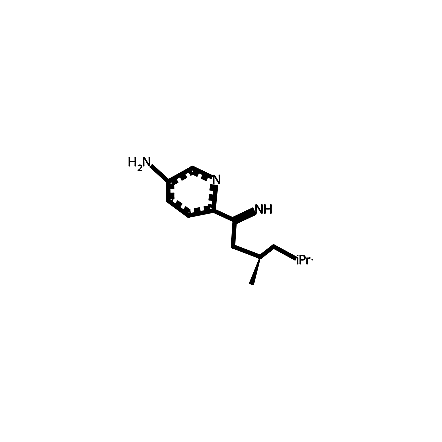 C[C](C)C[C@@H](C)CC(=N)c1ccc(N)cn1